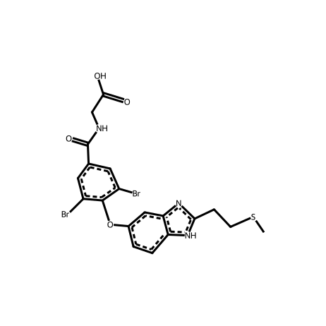 CSCCc1nc2cc(Oc3c(Br)cc(C(=O)NCC(=O)O)cc3Br)ccc2[nH]1